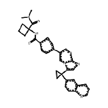 CN(C)C(=O)C1(NC(=O)c2ccc(-c3cnc4ncc(C5(c6ccc7ncccc7c6)CC5)n4c3)cc2)CCC1